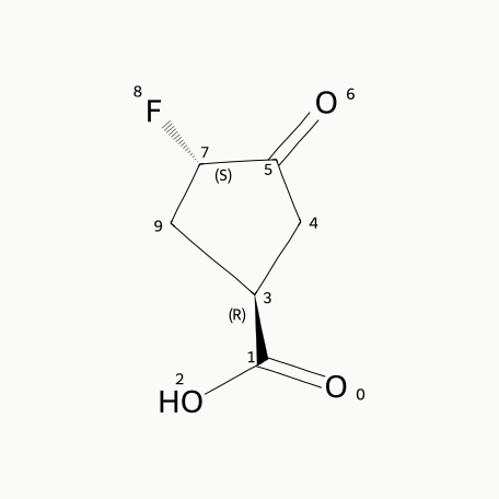 O=C(O)[C@@H]1CC(=O)[C@@H](F)C1